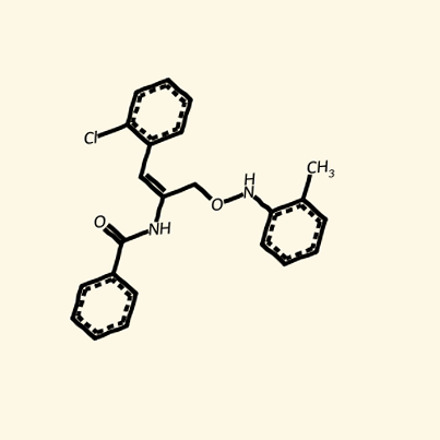 Cc1ccccc1NOC/C(=C\c1ccccc1Cl)NC(=O)c1ccccc1